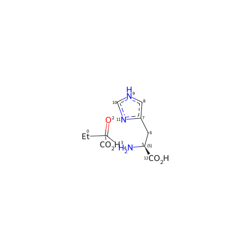 CCC(=O)C(=O)O.N[C@@H](Cc1c[nH]cn1)C(=O)O